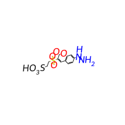 NNc1ccc2cc(S(=O)(=O)CCS(=O)(=O)O)c(=O)oc2c1